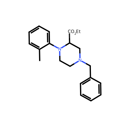 CCOC(=O)C1CN(Cc2ccccc2)CCN1c1ccccc1C